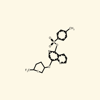 Cc1ccc(S(=O)(=O)Oc2ncc(OC3CCC(C(F)(F)F)CC3)c3ncccc23)cc1